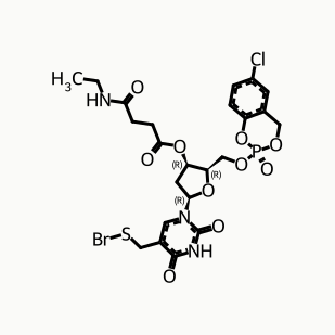 CCNC(=O)CCC(=O)O[C@@H]1C[C@H](n2cc(CSBr)c(=O)[nH]c2=O)O[C@@H]1COP1(=O)OCc2cc(Cl)ccc2O1